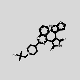 CC(C)(O)CN1CCC(c2nc(C3=C(c4c[nH]c5sccc45)C(=O)NC3=O)c3ccccc3n2)CC1